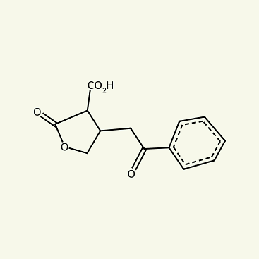 O=C(CC1COC(=O)C1C(=O)O)c1ccccc1